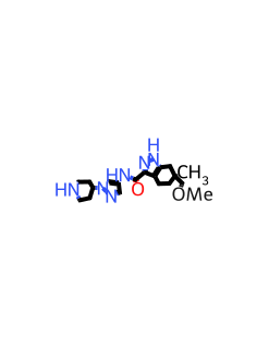 COC[C@@]1(C)CCc2c(C(=O)Nc3cnn(C4CCNCC4)c3)n[nH]c2C1